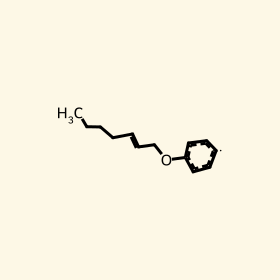 CCCCC=CCOc1cc[c]cc1